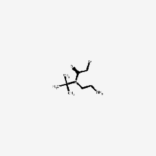 CC(C)(C)N(CCN)C(=O)CBr